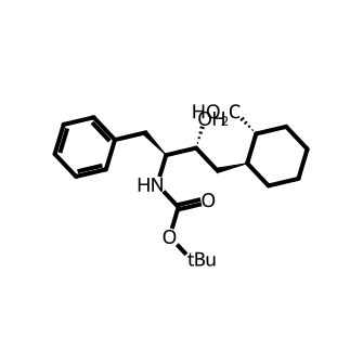 CC(C)(C)OC(=O)N[C@@H](Cc1ccccc1)[C@H](O)C[C@@H]1CCCC[C@H]1C(=O)O